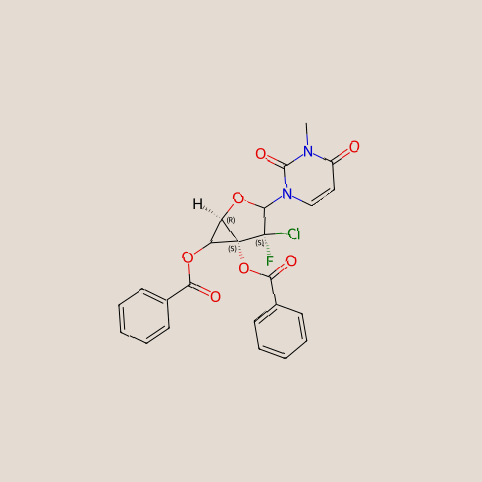 Cn1c(=O)ccn(C2O[C@@H]3C(OC(=O)c4ccccc4)[C@]3(OC(=O)c3ccccc3)[C@]2(F)Cl)c1=O